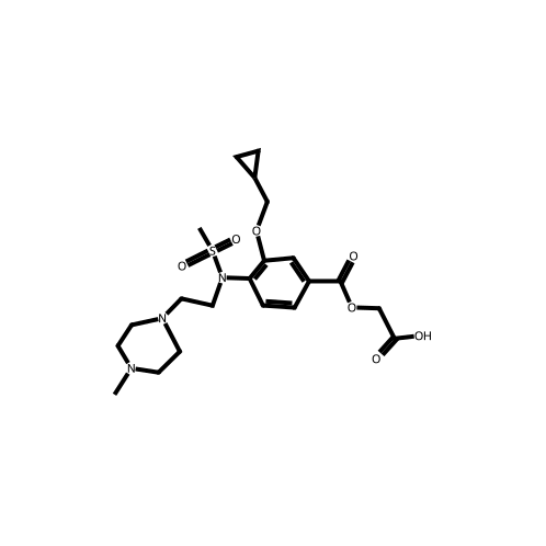 CN1CCN(CCN(c2ccc(C(=O)OCC(=O)O)cc2OCC2CC2)S(C)(=O)=O)CC1